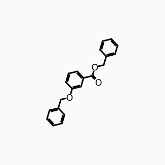 O=C(OCc1ccccc1)c1cccc(OCc2ccccc2)c1